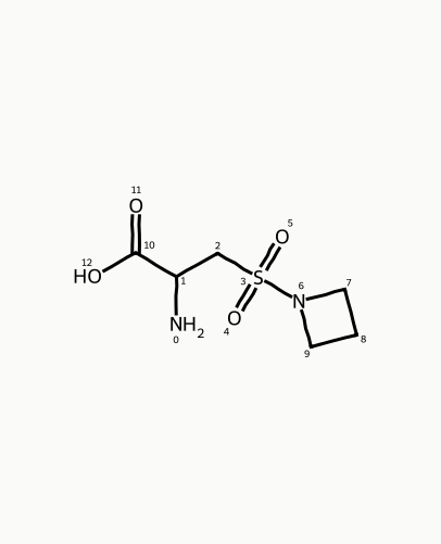 NC(CS(=O)(=O)N1CCC1)C(=O)O